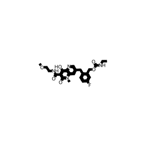 CCNC(=O)OCc1cc(F)ccc1Cc1cnc2c(O)c(C(=O)NCCOC)c(=O)n(C)c2c1